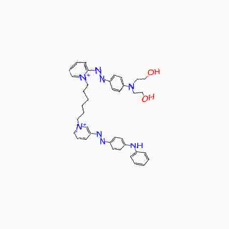 OCCN(CCO)c1ccc(/N=N/c2cccc[n+]2CCCCCC[n+]2cccc(/N=N/c3ccc(Nc4ccccc4)cc3)c2)cc1